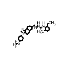 CCc1cccc(C)c1NC(=S)NN=Cc1ccc2c(ccc3c2ncn3-c2ccc(SC(F)(F)F)cc2)c1